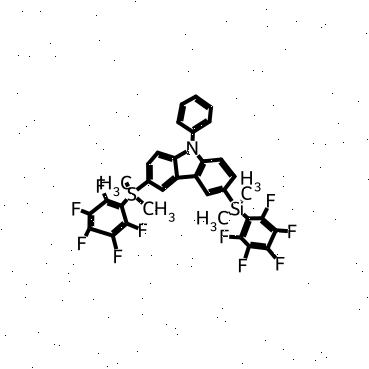 C[Si](C)(c1ccc2c(c1)c1cc(S(C)(C)c3c(F)c(F)c(F)c(F)c3F)ccc1n2-c1ccccc1)c1c(F)c(F)c(F)c(F)c1F